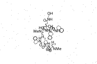 CN[C@@H](C)C(=O)N[C@H](C(=O)N1C[C@@H](c2ccc3c(c2)CN(C(=O)[C@@H](NC(=O)[C@H](C)NC)C(C)(C)SCC(=O)NCCO)[C@H](C(=O)N[C@@H]2CCCc4ccccc42)C3)C[C@H]1C(=O)N[C@@H]1CCCc2ccccc21)C(C)(C)C